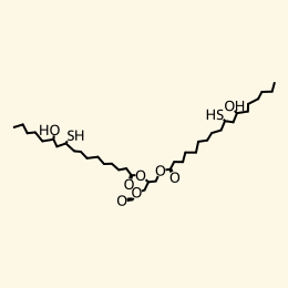 CCCCCCC(O)CC(S)CCCCCCCCC(=O)OCC(COC=O)OC(=O)CCCCCCCCC(S)CC(O)CCCCC